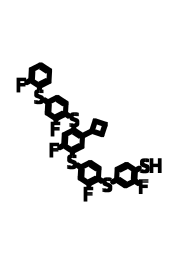 Fc1cc(Sc2ccc(Sc3cc(C4CCC4)c(Sc4ccc(Sc5ccccc5F)cc4F)cc3F)cc2F)ccc1S